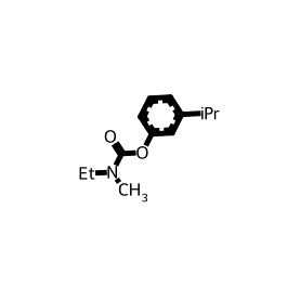 CCN(C)C(=O)Oc1cccc(C(C)C)c1